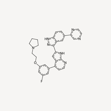 Fc1cc(OCCN2CCCC2)cc(-c2ccnc3[nH]c(-c4n[nH]c5ccc(-c6cnccn6)cc45)cc23)c1